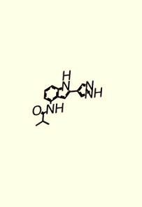 CC(C)C(=O)Nc1cccc2[nH]c(-c3cn[nH]c3)cc12